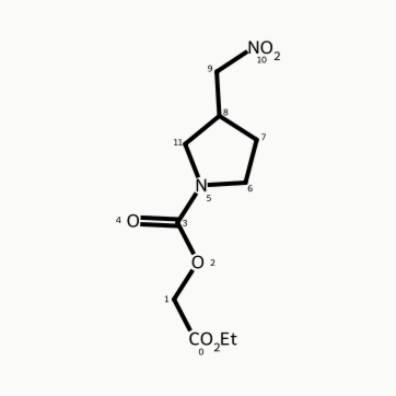 CCOC(=O)COC(=O)N1CCC(C[N+](=O)[O-])C1